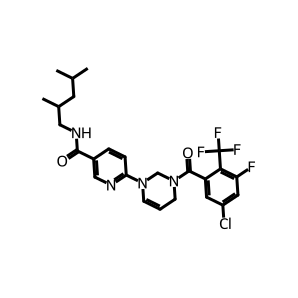 CC(C)CC(C)CNC(=O)c1ccc(N2C=CCN(C(=O)c3cc(Cl)cc(F)c3C(F)(F)F)C2)nc1